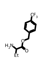 CCC(N)C(=O)OCc1ccc(C(F)(F)F)cc1